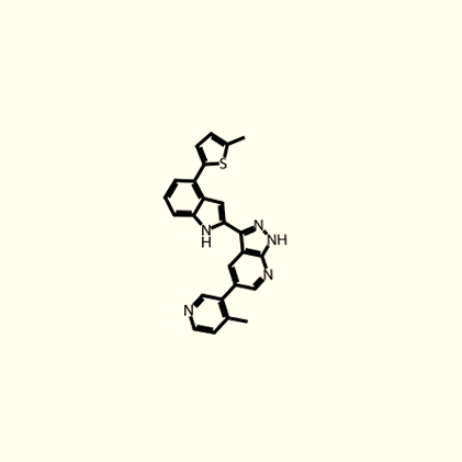 Cc1ccc(-c2cccc3[nH]c(-c4n[nH]c5ncc(-c6cnccc6C)cc45)cc23)s1